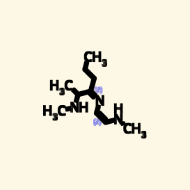 CCC/C(=N/C=C\NC)C(C)NC